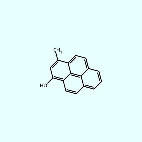 Cc1cc(O)c2ccc3cccc4ccc1c2c43